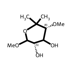 COC1OC(C)(C)[C@H](OC)C(O)[C@@H]1O